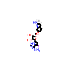 CNc1ccc2ccc(OC[C@H]3O[C@@H](c4cc(I)c5c(N)ncnn45)[C@H](O)[C@@H]3O)cc2n1